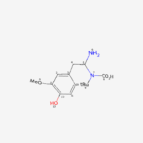 COc1cc(CC(N)N(C(=O)O)C(C)(C)C)ccc1O